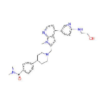 CN(C)C(=O)c1ccc(C2CCN(Cc3cc4c(-c5ccc(NCCO)nc5)ccnc4n3C)CC2)cc1